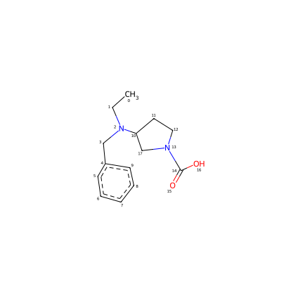 CCN(Cc1ccccc1)C1CCN(C(=O)O)C1